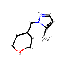 O=C(O)c1ccnn1CC1CCOCC1